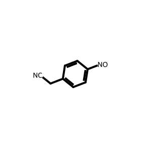 N#CCc1ccc(N=O)cc1